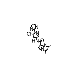 Cc1cc(C)n2ccc(C(=O)Nc3cnc(C4=NCCC=N4)c(Cl)c3)c2n1